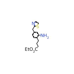 CCOC(=O)CCCc1ccc(Cc2nccs2)cc1N